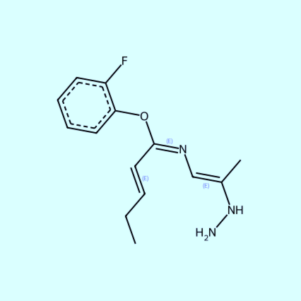 CC/C=C/C(=N\C=C(/C)NN)Oc1ccccc1F